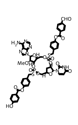 CO[C@@H]1[C@@H]2OP(=O)(SCc3ccc(OC(=O)c4ccc(O)cc4)cc3)OC[C@@H]3C[C@@H](OP(=O)(SCc4ccc(OC(=O)c5ccc(C=O)cc5)cc4)OC[C@H]2O[C@H]1n1cnc2c(N)ncnc21)[C@H](n1ccc(=O)[nH]c1=O)O3